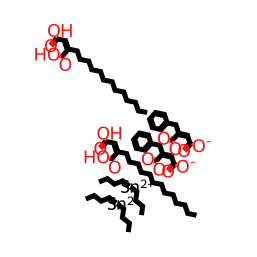 CCCCCCCCCCCCCC(=CC(=O)O)C(=O)O.CCCCCCCCCCCCCC(=CC(=O)O)C(=O)O.CCC[CH2][Sn+2][CH2]CCC.CCC[CH2][Sn+2][CH2]CCC.O=C([O-])C=C(Cc1ccccc1)C(=O)[O-].O=C([O-])C=C(Cc1ccccc1)C(=O)[O-]